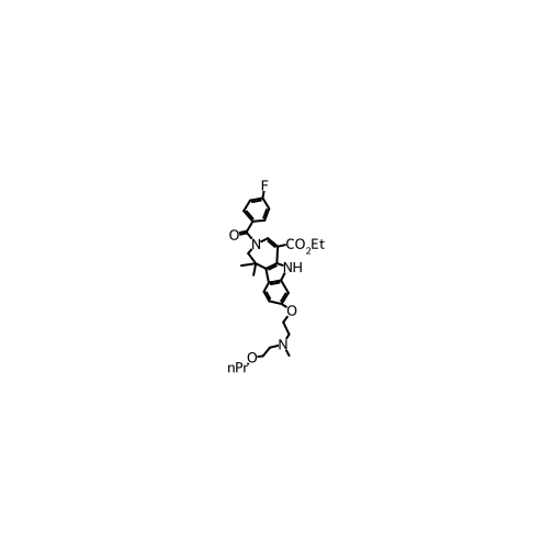 CCCOCCN(C)CCOc1ccc2c3c([nH]c2c1)C(C(=O)OCC)=CN(C(=O)c1ccc(F)cc1)CC3(C)C